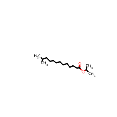 CC(C)CCCCCCCCCCC(=O)OC(C)C